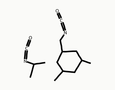 CC(C)N=C=O.CC1CC(C)CC(CN=C=O)C1